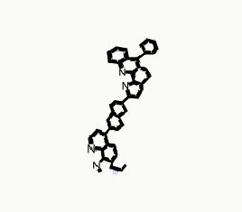 C=Nc1c(/C=C\C)ccc2c(-c3ccc4cc(-c5ccc6ccc7c(-c8ccccc8)c8ccccc8nc7c6n5)ccc4c3)ccnc12